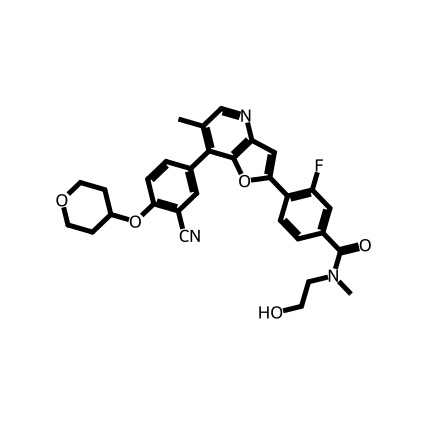 Cc1cnc2cc(-c3ccc(C(=O)N(C)CCO)cc3F)oc2c1-c1ccc(OC2CCOCC2)c(C#N)c1